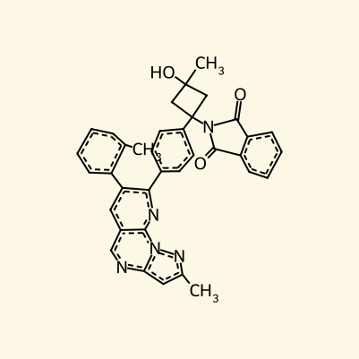 Cc1cc2ncc3cc(-c4ccccc4C)c(-c4ccc(C5(N6C(=O)c7ccccc7C6=O)CC(C)(O)C5)cc4)nc3n2n1